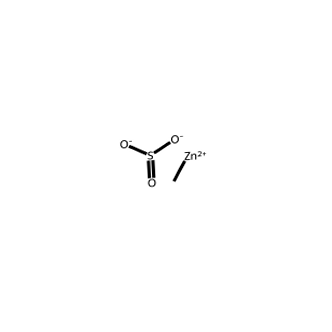 O=S([O-])[O-].[CH3][Zn+2]